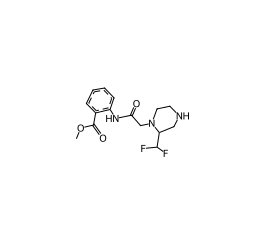 COC(=O)c1ccccc1NC(=O)CN1CCNCC1C(F)F